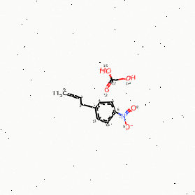 C=CCc1ccc([N+](=O)[O-])cc1.O=C(O)O